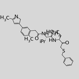 C=C(N[C@@H](CC(=O)O)C(=O)CSCc1ccccc1)[C@@H](NC(=O)Cc1cc(C2=CC(C)=NC2)ccc1C)C(C)C